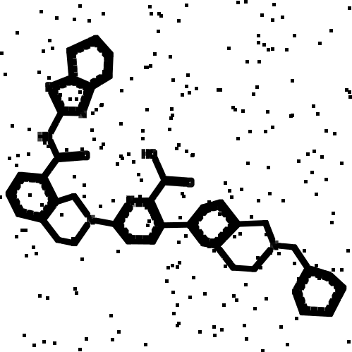 O=C(Nc1nc2ccccc2s1)c1cccc2c1CN(c1ccc(-c3ccc4c(c3)CCN(Cc3ccccc3)C4)c(C(=O)O)n1)CC2